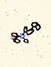 c1ccc(-c2nc(-c3cccc4c(-c5cccc6ccccc56)cccc34)nc(-c3cccc4oc5ccccc5c34)n2)cc1